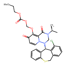 COCCOC(=O)OCOc1c2n(ccc1=O)N([C@@H]1c3ccccc3SCc3cccc(Cl)c31)CN([C@H](C)C(F)(F)F)C2=O